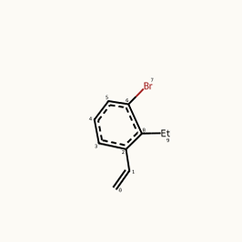 C=Cc1cccc(Br)c1CC